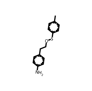 Cc1ccc(SOCCc2ccc(N)cc2)cc1